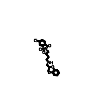 O=C1c2ccc(Cl)cc2S(=O)(=O)N1CCCCNCC1COc2ccccc2O1